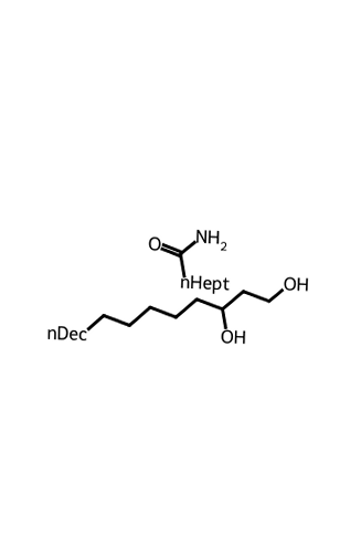 CCCCCCCC(N)=O.CCCCCCCCCCCCCCCC(O)CCO